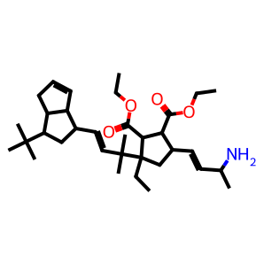 CCOC(=O)C1C(C=CC(C)N)CC(CC)(C(C)(C)C=CC2CC(C(C)(C)C)C3CC=CC23)C1C(=O)OCC